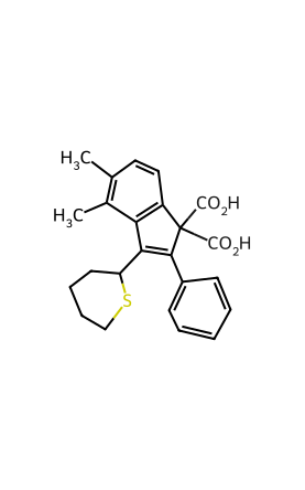 Cc1ccc2c(c1C)C(C1CCCCS1)=C(c1ccccc1)C2(C(=O)O)C(=O)O